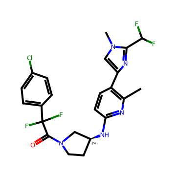 Cc1nc(N[C@H]2CCN(C(=O)C(F)(F)c3ccc(Cl)cc3)C2)ccc1-c1cn(C)c(C(F)F)n1